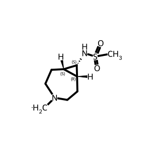 [CH2]N1CC[C@@H]2[C@H](CC1)[C@@H]2NS(C)(=O)=O